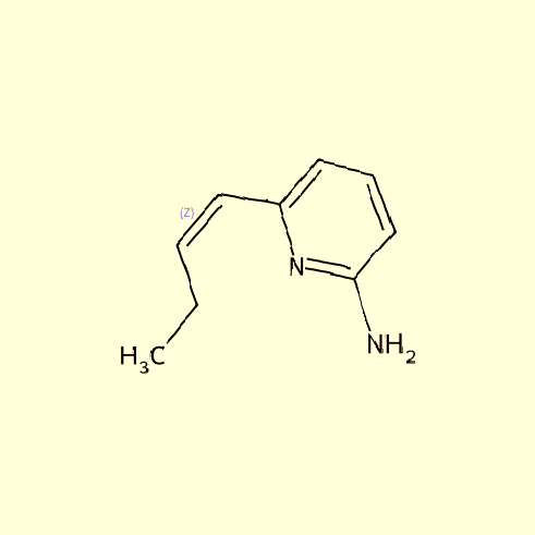 CC/C=C\c1cccc(N)n1